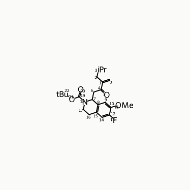 C=C(CC(C)C)C(=O)CC1c2cc(OC)c(F)cc2CCN1C(=O)OC(C)(C)C